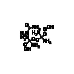 NC(N)(OO)OOC(N)(N)OOO.NC(N)=O